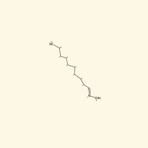 CC(=O)ON=CCCCCCCCCC#N